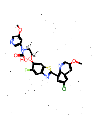 COc1cncc(N(C(=O)O)[C@H](C)[C@H](C)Oc2cc3sc(-c4cc(Cl)cc5cc(OC)cnc45)nc3cc2F)c1